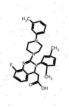 Cc1cccc(N2CCN(C3=Nc4c(F)cccc4C(CC(=O)O)N3c3cc(C)ccc3C)CC2)c1